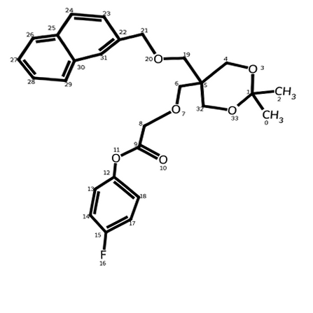 CC1(C)OCC(COCC(=O)Oc2ccc(F)cc2)(COCc2ccc3ccccc3c2)CO1